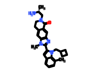 Cc1cccc2cc(-c3nc4cc5c(cc4n3C)CCN(C[C@@H](C)N)C5=O)n(CC3CCC3)c12